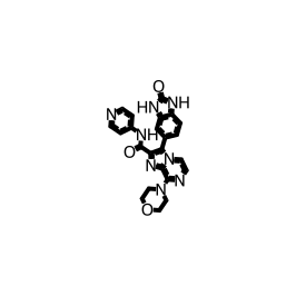 O=C(Nc1ccncc1)c1nc2c(N3CCOCC3)nccn2c1-c1ccc2[nH]c(=O)[nH]c2c1